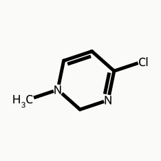 CN1C=CC(Cl)=NC1